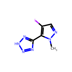 Cn1ncc(I)c1-c1nn[nH]n1